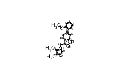 COc1ccccc1N1CCN(C(=O)C[n+]2csc(C)c2C)CC1.[Cl-]